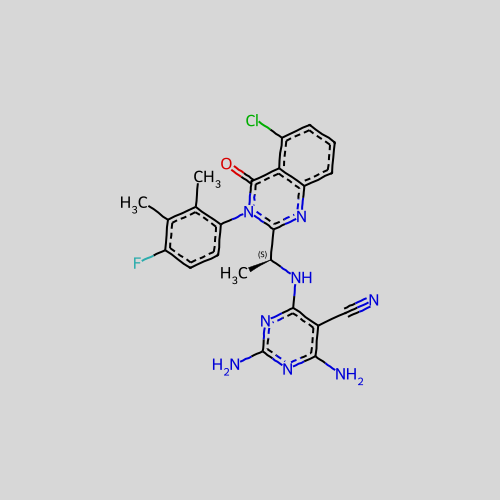 Cc1c(F)ccc(-n2c([C@H](C)Nc3nc(N)nc(N)c3C#N)nc3cccc(Cl)c3c2=O)c1C